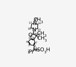 CC(C)N(c1ccc2c(c1)C(C)(C)C(N1CCN(C)CC1)O2)S(=O)(=O)O